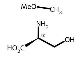 COC.N[C@@H](CO)C(=O)O